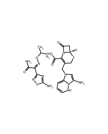 CC(C)O/N=C(\C(N)=O)c1nsc(N)n1.NC1=CN(CC2=C(C(=O)O)N3C(=O)C[C@@H]3SC2)C2=CC=CNN12